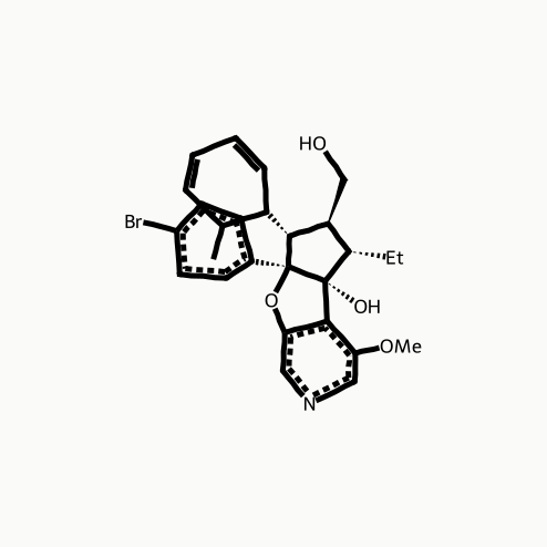 CC[C@H]1[C@H](CO)[C@@H](C2C=CC=CC2C)[C@]2(c3ccc(Br)cc3)Oc3cncc(OC)c3[C@]12O